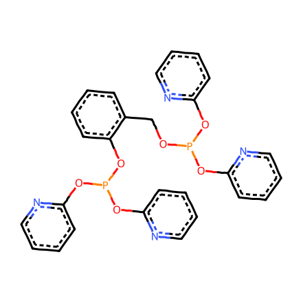 c1ccc(OP(OCc2ccccc2OP(Oc2ccccn2)Oc2ccccn2)Oc2ccccn2)nc1